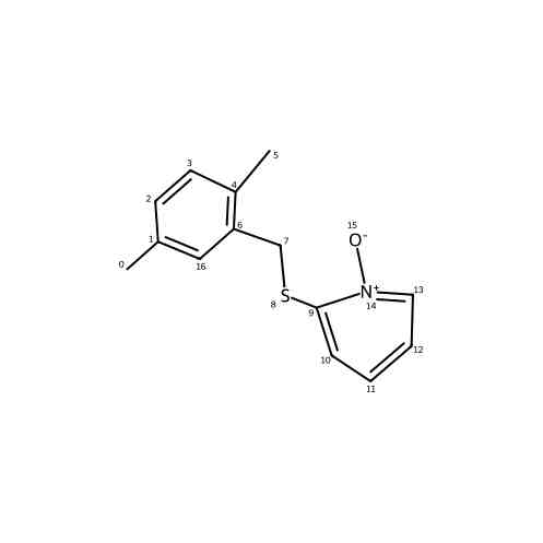 Cc1ccc(C)c(CSc2cccc[n+]2[O-])c1